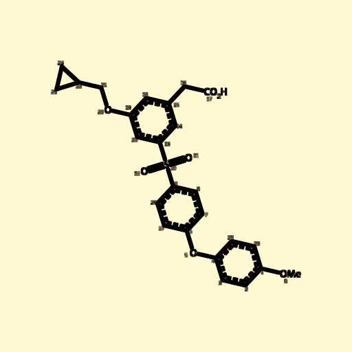 COc1ccc(Oc2ccc(S(=O)(=O)c3cc(CC(=O)O)cc(OCC4CC4)c3)cc2)cc1